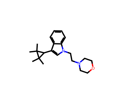 CC1(C)[C](c2cn(CCN3CCOCC3)c3ccccc23)C1(C)C